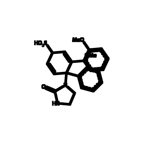 COc1ccccc1C1=CC(S(=O)(=O)O)C=CC1(c1ccccc1OC)N1CCNC1=O